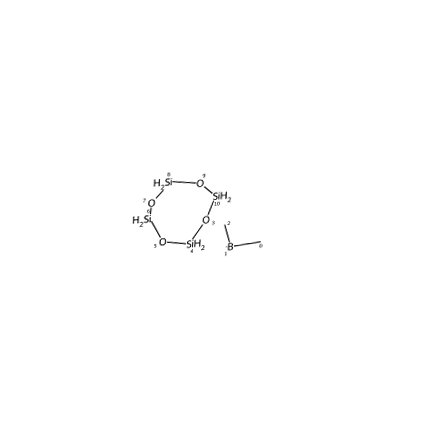 C[B]C.O1[SiH2]O[SiH2]O[SiH2]O[SiH2]1